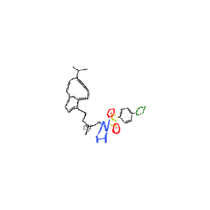 CC(C)c1ccc2ccc(CC[C@H](C)CNS(=O)(=O)c3ccc(Cl)cc3)c-2cc1